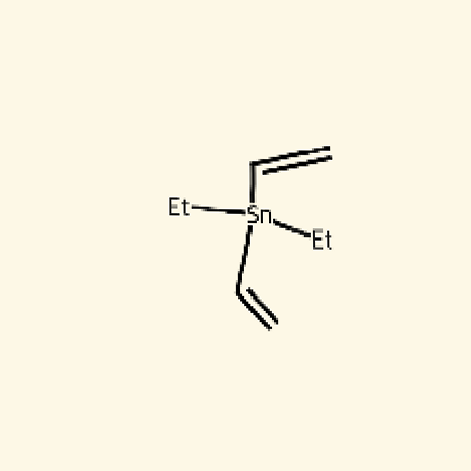 C=[CH][Sn]([CH]=C)([CH2]C)[CH2]C